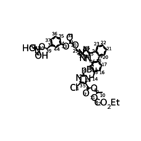 CCCCc1nc(Cl)c(C(=O)OC(C)OC(=O)OCC)n1Cc1ccc(-c2ccccc2-c2nnn(COC(=O)Oc3cccc(CON(O)O)c3)n2)cc1